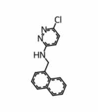 Clc1ccc(NCc2cccc3ccccc23)nn1